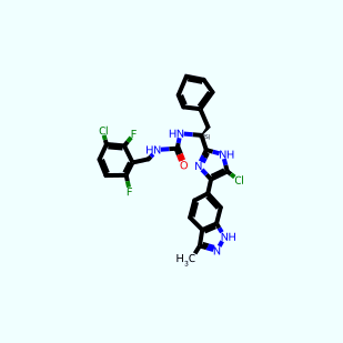 Cc1n[nH]c2cc(-c3nc([C@H](Cc4ccccc4)NC(=O)NCc4c(F)ccc(Cl)c4F)[nH]c3Cl)ccc12